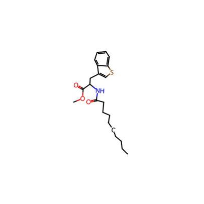 CCCCCCCCCC(=O)NC(Cc1csc2ccccc12)C(=O)OC